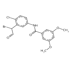 COc1cc(OC)cc(C(=O)Nc2ccc(Cl)c(C(Br)C=O)c2)c1